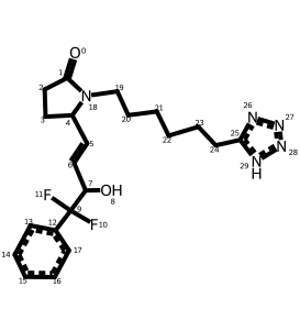 O=C1CCC(C=CC(O)C(F)(F)c2ccccc2)N1CCCCCCc1nnn[nH]1